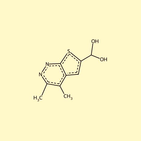 Cc1nnc2sc(C(O)O)cc2c1C